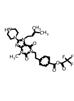 CC(C)=CCn1c(N2CCNCC2)nc2c1c(=O)n(CCc1ccc(C(=O)OC(=O)C(F)(F)F)cc1)c(=O)n2C